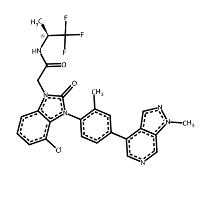 Cc1cc(-c2cncc3c2cnn3C)ccc1-n1c(=O)n(CC(=O)N[C@@H](C)C(F)(F)F)c2cccc(Cl)c21